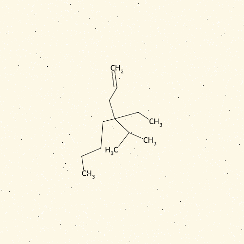 C=CCC(CC)(CCCC)[C](C)C